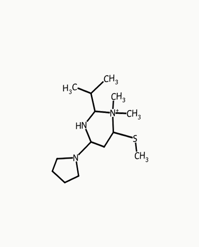 CSC1CC(N2CCCC2)NC(C(C)C)[N+]1(C)C